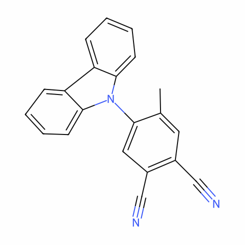 Cc1cc(C#N)c(C#N)cc1-n1c2ccccc2c2ccccc21